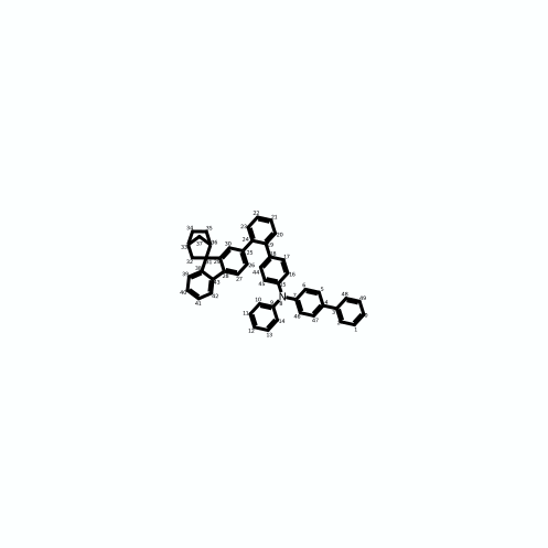 c1ccc(-c2ccc(N(c3ccccc3)c3ccc(-c4ccccc4-c4ccc5c(c4)C4(CC6CCC4C6)c4ccccc4-5)cc3)cc2)cc1